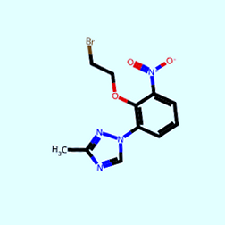 Cc1ncn(-c2cccc([N+](=O)[O-])c2OCCBr)n1